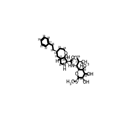 CSC1O[C@H]([C@H](NC(=O)[C@H]2NC[C@@H]3C[C@@H](CCc4ccccc4)CCO[C@H]32)[C@H](C)Cl)C(O)C(O)[C@H]1O